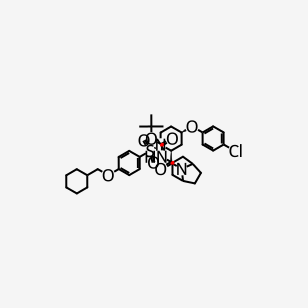 CC(C)(C)OC(=O)NC1CC2CCC(C1)N2C(=O)[C@@H]1C[C@H](Oc2ccc(Cl)cc2)CCN1S(=O)(=O)c1ccc(OCC2CCCCC2)cc1